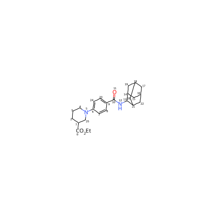 CCOC(=O)C1CCCN(c2ccc(C(=O)NC3C4CC5CC(C4)CC3C5)cc2)C1